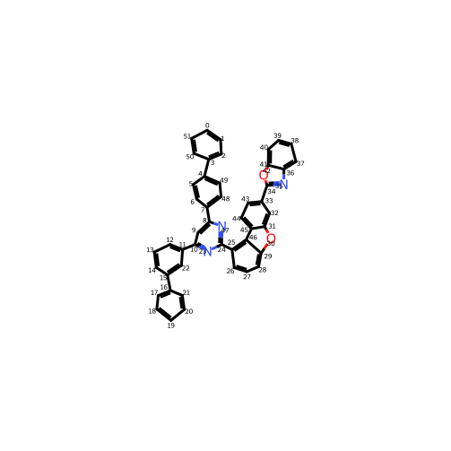 c1ccc(-c2ccc(-c3cc(-c4cccc(-c5ccccc5)c4)nc(-c4cccc5oc6cc(-c7nc8ccccc8o7)ccc6c45)n3)cc2)cc1